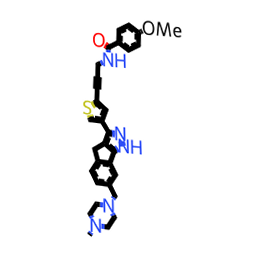 COc1ccc(C(=O)NCC#Cc2cc(-c3n[nH]c4c3Cc3ccc(CN5CCN(C)CC5)cc3-4)cs2)cc1